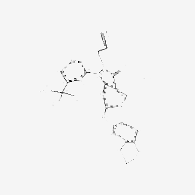 C=CCn1c(=O)c2cnc(Nc3ccc4c(c3)CCNC4)nc2n1-c1cccc(C(C)(C)O)n1.[Cl-].[H+]